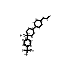 CCCC1CCC(C2CCC(O)(c3ccc(C(F)(F)F)cc3)CC2)CC1